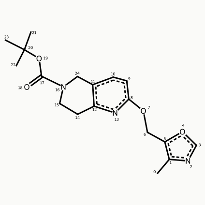 Cc1ncoc1COc1ccc2c(n1)CCN(C(=O)OC(C)(C)C)C2